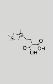 C[Si](C)(C)C[Si](C)(C)CCCC(C(=O)O)C(=O)O